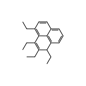 CCC1=C(CC)C(CC)c2cccc3ccc(CC)c1c23